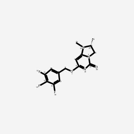 C[C@@H]1Cn2c(cc(OCc3cc(F)c(F)c(F)c3)nc2=O)N1C